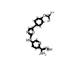 N/C(=N\O)c1ccc(Nc2ncc(-c3ccc(OC(F)F)cc3)o2)cn1